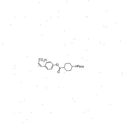 CCCCCC1CCC(C(=O)Oc2ccc(/C=C\C(=O)O)cc2)CC1